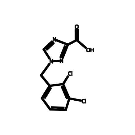 O=C(O)c1ncn(Cc2cccc(Cl)c2Cl)n1